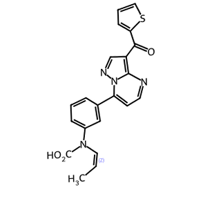 C/C=C\N(C(=O)O)c1cccc(-c2ccnc3c(C(=O)c4cccs4)cnn23)c1